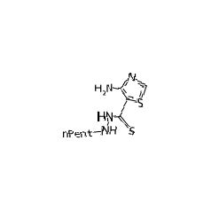 CCCCCNNC(=S)c1scnc1N